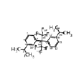 CC(C)c1cccc(C(c2cccc(C(C)C)c2)(C(F)(F)F)C(F)(F)F)c1